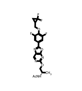 CC(=O)N[C@@H](C)COc1ncc2nc(-c3cc(F)c(OCC4CC4(F)F)c(F)c3)oc2n1